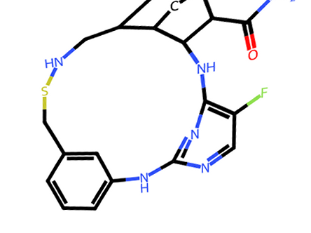 NC(=O)C1C2CC3CNSCc4cccc(c4)Nc4ncc(F)c(n4)NC1C3C2